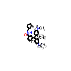 Cc1ccc(C(=O)NCC2CCCCC2)cc1C1=C2C=CC(=[N+](C)C)C=C2[Si](C)(C)c2cc(N(C)C)ccc21